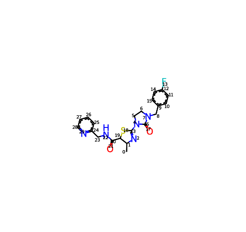 CC1N=C(N2CCN(Cc3ccc(F)cc3)C2=O)SC1C(=O)NCc1ccccn1